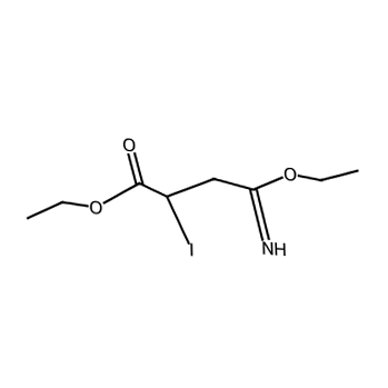 CCOC(=N)CC(I)C(=O)OCC